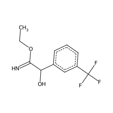 CCOC(=N)C(O)c1cccc(C(F)(F)F)c1